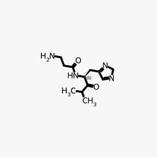 CC(C)C(=O)[C@H](CC1=NCN=C1)NC(=O)CCN